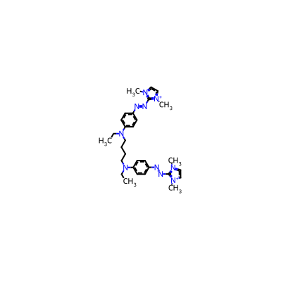 CCN(CCCCN(CC)c1ccc(/N=N/c2n(C)cc[n+]2C)cc1)c1ccc(/N=N/c2n(C)cc[n+]2C)cc1